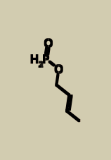 CC=CCO[PH2]=O